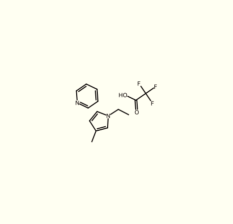 CCn1ccc(C)c1.O=C(O)C(F)(F)F.c1ccncc1